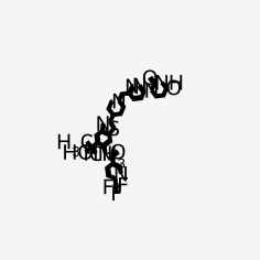 CC(C)(O)c1cc2nc(C3CCN(Cc4ccc(N5CCC(=O)NC5=O)nn4)CC3)sc2cc1NC(=O)c1ccc(C(F)(F)F)nc1